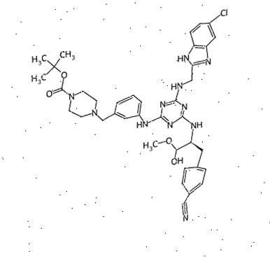 COC(O)[C@H](Cc1ccc(C#N)cc1)Nc1nc(NCc2nc3cc(Cl)ccc3[nH]2)nc(Nc2cccc(CN3CCN(C(=O)OC(C)(C)C)CC3)c2)n1